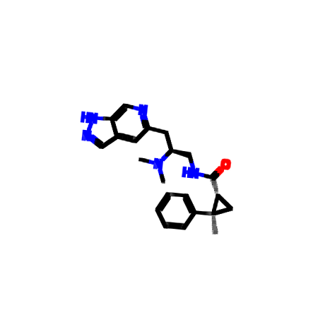 CN(C)[C@H](CNC(=O)[C@@H]1C[C@@]1(C)c1ccccc1)Cc1cc2cn[nH]c2cn1